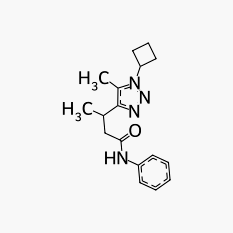 Cc1c(C(C)CC(=O)Nc2ccccc2)nnn1C1CCC1